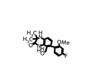 COc1cc(F)ccc1-c1ccc2c(c1CO)NC(=O)C(C)(C)N2